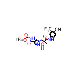 CC(C)(C)OC(=O)NC(=O)c1cnn(CC(C)(O)C(=O)Nc2ccc(C#N)c(C(F)(F)F)c2)c1